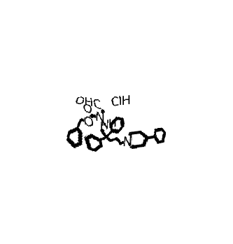 Cl.O=CCN(NCC(CCCN1CCC(c2ccccc2)CC1)(c1ccccc1)c1ccccc1)C(=O)OCc1ccccc1